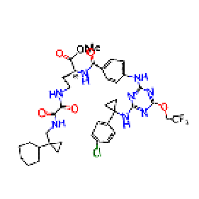 COC(=O)[C@H](CCNC(=O)C(=O)NCC1(C2CCCCC2)CC1)NC(=O)c1ccc(Nc2nc(NC3(c4ccc(Cl)cc4)CC3)nc(OCC(F)(F)F)n2)cc1